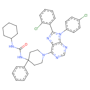 O=C(NC1CCCCC1)NC1(c2ccccc2)CCN(c2ncnc3c2nc(-c2ccccc2Cl)n3-c2ccc(Cl)cc2)CC1